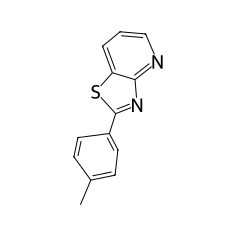 Cc1ccc(-c2nc3ncccc3s2)cc1